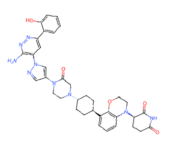 Nc1nnc(-c2ccccc2O)cc1-n1cc(N2CCN([C@H]3CC[C@H](c4cccc5c4OCCN5[C@@H]4CCC(=O)NC4=O)CC3)CC2=O)cn1